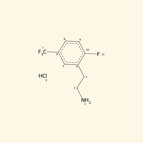 Cl.NCCc1cc(C(F)(F)F)ccc1F